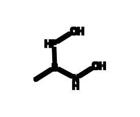 CB(NO)PO